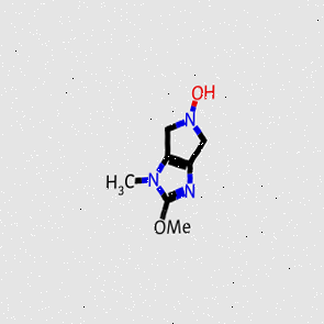 COc1nc2c(n1C)CN(O)C2